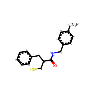 O=C(O)c1ccc(CNC(=O)C(CS)Cc2ccccc2)cc1